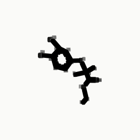 CCOC(=O)C(C)(C)Sc1ccc(Cl)c(Cl)c1